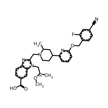 CO[C@H](C)Cn1c(CN2CCC(c3cccc(OCc4ccc(C#N)cc4F)n3)CC2C)nc2ccc(C(=O)O)cc21